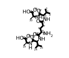 CC(C)[C@H](NC(=O)CC[C@H](N)C(=O)N[C@H](C(=O)N[C@@H](C)C(=O)O)C(C)C)C(=O)N[C@@H](C)C(=O)O